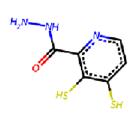 NNC(=O)c1nccc(S)c1S